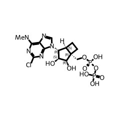 CNc1nc(Cl)nc2c1ncn2[C@H]1[C@H](O)[C@H](O)[C@]2(COP(=O)(O)OP(=O)(O)O)CC[C@H]12